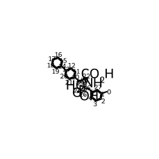 Cc1cccc(C(N[C@@H](Cc2ccc(-c3ccccc3)cc2)C(=O)O)P(=O)(O)O)c1